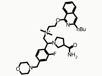 CCCCc1cc2ccccc2c(OCC[N+](C)(C)CC(c2ccc(CN3CCOCC3)cc2F)N2CCC(C(N)=O)C2)n1